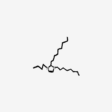 CCCCCCCCCC1N(CCCC)C=CN1CCCCCCCC